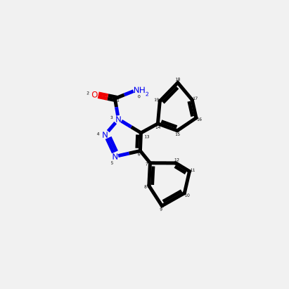 NC(=O)n1nnc(-c2ccccc2)c1-c1ccccc1